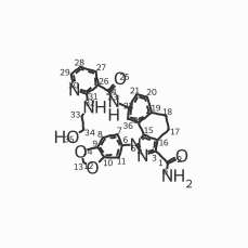 NC(=O)c1nn(-c2ccc3c(c2)OCO3)c2c1CCc1ccc(NC(=O)c3cccnc3NCCO)cc1-2